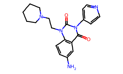 Nc1ccc2c(c1)c(=O)n(-c1ccncc1)c(=O)n2CCN1CCCCC1